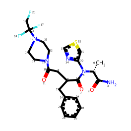 C[C@H](C(N)=O)N(C(=O)C(CC(=O)N1CCN(C(F)(F)CF)CC1)Cc1ccccc1)c1cscn1